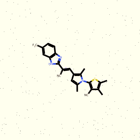 Cc1sc(-n2c(C)cc(/C=C(\C#N)c3nc4ccc(C(F)(F)F)cc4[nH]3)c2C)c(C#N)c1C